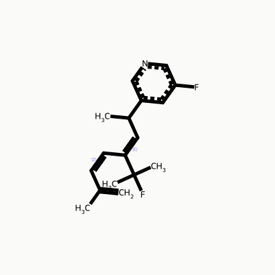 C=C(C)/C=C\C(=C/C(C)c1cncc(F)c1)C(C)(C)F